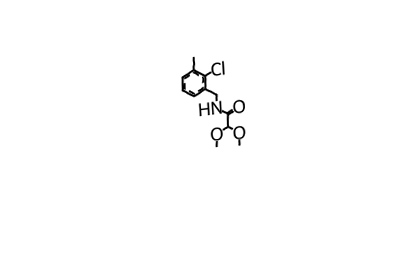 COC(OC)C(=O)NCc1cccc(C)c1Cl